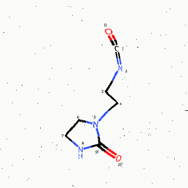 O=C=NCCN1CCNC1=O